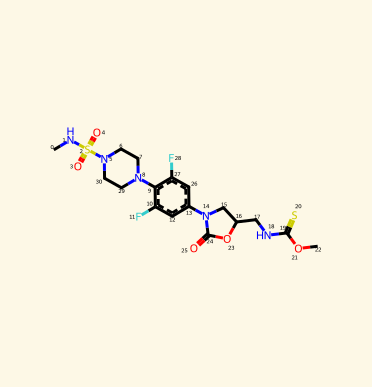 CNS(=O)(=O)N1CCN(c2c(F)cc(N3CC(CNC(=S)OC)OC3=O)cc2F)CC1